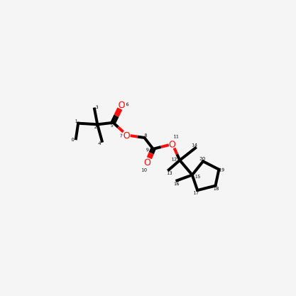 CCC(C)(C)C(=O)OCC(=O)OC(C)(C)C1(C)CCCC1